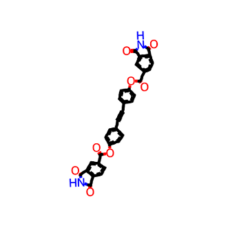 O=C(Oc1ccc(C#Cc2ccc(OC(=O)c3ccc4c(c3)C(=O)NC4=O)cc2)cc1)c1ccc2c(c1)C(=O)NC2=O